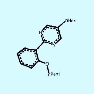 CCCCCCc1cnc(-c2ccccc2OCCCCC)nc1